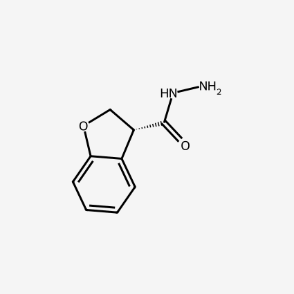 NNC(=O)[C@H]1COc2ccccc21